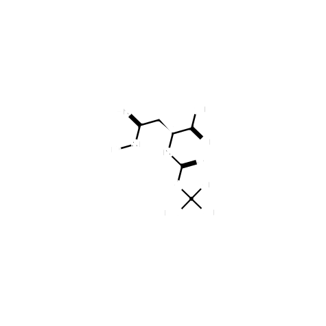 C=C(C)[C@H](CC(=N)NO)NC(=O)OC(C)(C)C